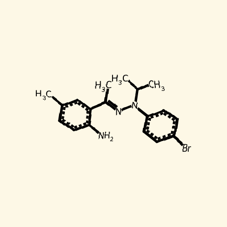 C/C(=N\N(c1ccc(Br)cc1)C(C)C)c1cc(C)ccc1N